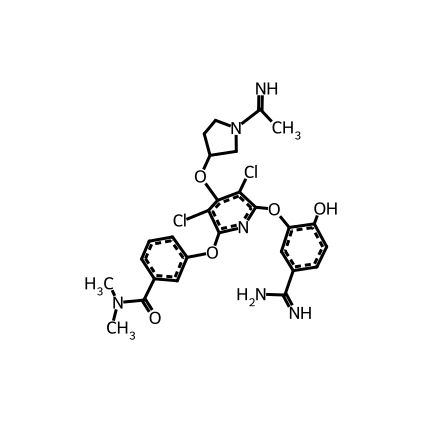 CC(=N)N1CCC(Oc2c(Cl)c(Oc3cccc(C(=O)N(C)C)c3)nc(Oc3cc(C(=N)N)ccc3O)c2Cl)C1